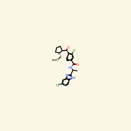 COC[C@@H]1CCCC1C(=O)c1ccc(C(=O)NC(C)c2nc3cc(Cl)ccc3[nH]2)cc1Cl